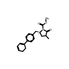 CC1C[C@@H](Cc2ccc(C3=CC=CCC3)cc2)N(C(=O)OC(C)(C)C)C1=O